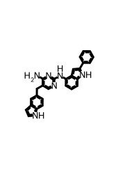 Nc1nc(Nc2cccc3[nH]c(-c4ccccc4)cc23)ncc1Cc1ccc2[nH]ccc2c1